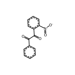 O=C(C(=O)c1ccccc1[N+](=O)[O-])c1ccccc1